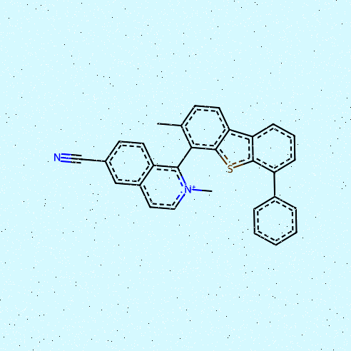 Cc1ccc2c(sc3c(-c4ccccc4)cccc32)c1-c1c2ccc(C#N)cc2cc[n+]1C